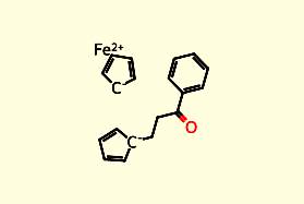 O=C(CC[c-]1cccc1)c1ccccc1.[Fe+2].c1cc[cH-]c1